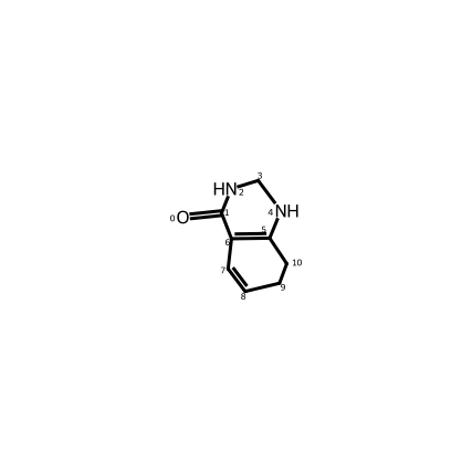 O=C1NCNC2=C1C=CCC2